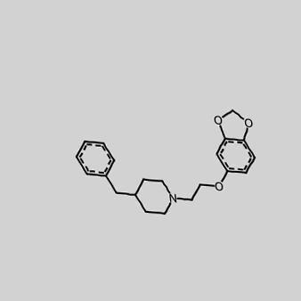 c1ccc(CC2CCN(CCOc3ccc4c(c3)OCO4)CC2)cc1